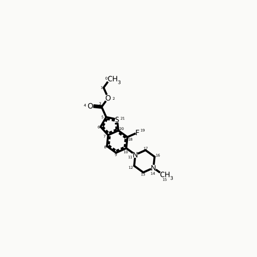 CCOC(=O)c1cc2ccc(N3CCN(C)CC3)c(F)c2s1